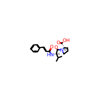 CC(C)[C@H](NC(=O)C=Cc1ccccc1)C(=O)N1CCC[C@H]1C(=O)O